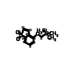 C[Si](C)(C)COc1cccc2c1C=CS2(=O)=O